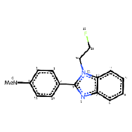 CNc1ccc(-c2nc3ccccc3n2CCF)cc1